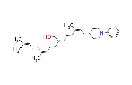 CC(C)=CCCC(C)=CCCC(=CCCC(C)=CCN1CCN(c2ccccc2)CC1)CO